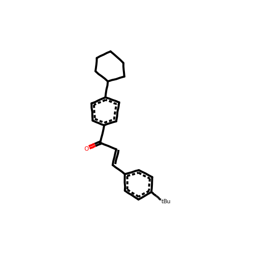 CC(C)(C)c1ccc(C=CC(=O)c2ccc(C3CCCCC3)cc2)cc1